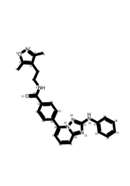 Cc1noc(C)c1CCNC(=O)c1ccc(-c2cccc3nc(Nc4ccccc4)nn23)cc1